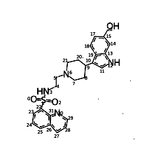 O=S(=O)(NCCN1CCC(c2c[nH]c3cc(O)ccc23)CC1)c1cccc2cccnc12